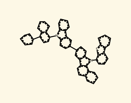 c1ccc(-c2ccc(-n3c4ccccc4c4cc(-c5ccc6c(c5)c5ccc7ccccc7c5n6-c5cccc6c5sc5ccccc56)ccc43)c3ccccc23)cc1